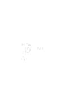 Cc1cc(=O)oc2cc(NC(=O)[C@H](CCCCN)NC(=O)[C@@H](N)CC(C)C)ccc12